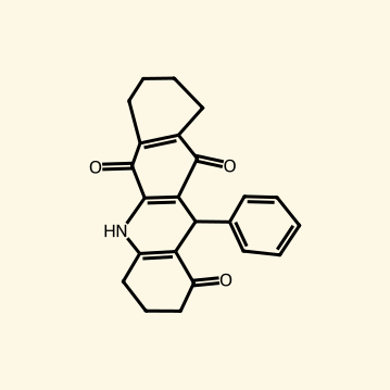 O=C1CCCC2=C1C(c1ccccc1)C1=C(N2)C(=O)C2=C(CCCC2)C1=O